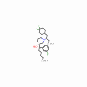 CNCC(CC1CCC(F)(F)CC1)N1CCC[C@@H]([C@@](O)(CCCCOC)c2cccc(F)c2)C1